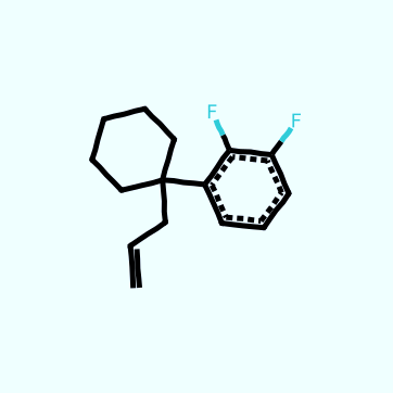 C=CCC1(c2cccc(F)c2F)CCCCC1